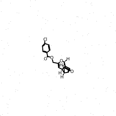 O=C(OCC1=C[C@H]2[C@@H]3C=C[C@H]2C(=O)O[C@@H]3O1)c1ccc(Cl)cc1